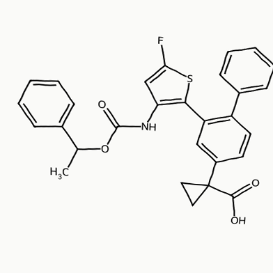 CC(OC(=O)Nc1cc(F)sc1-c1cc(C2(C(=O)O)CC2)ccc1-c1ccccc1)c1ccccc1